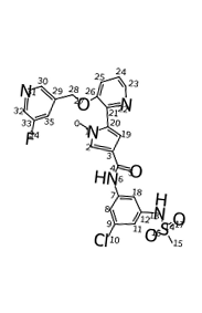 Cn1cc(C(=O)Nc2cc(Cl)cc(NS(C)(=O)=O)c2)cc1-c1ncccc1OCc1cncc(F)c1